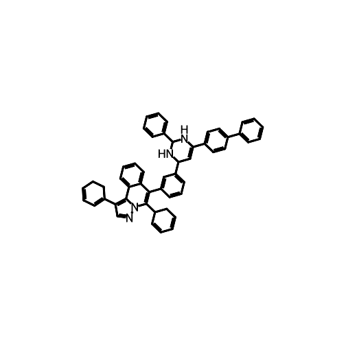 C1=CCCC(c2cnn3c(C4C=CC=CC4)c(-c4cccc(C5C=C(c6ccc(-c7ccccc7)cc6)NC(c6ccccc6)N5)c4)c4ccccc4c23)=C1